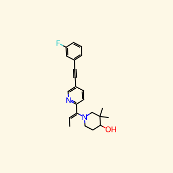 CC=C(c1ccc(C#Cc2cccc(F)c2)cn1)N1CCC(O)C(C)(C)C1